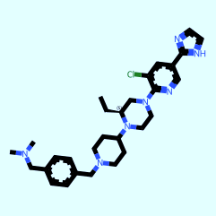 CC[C@H]1CN(c2ncc(-c3ncc[nH]3)cc2Cl)CCN1C1CCN(Cc2ccc(CN(C)C)cc2)CC1